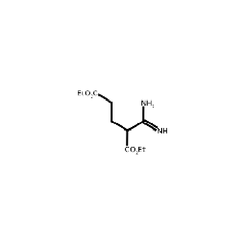 CCOC(=O)CCC(C(=N)N)C(=O)OCC